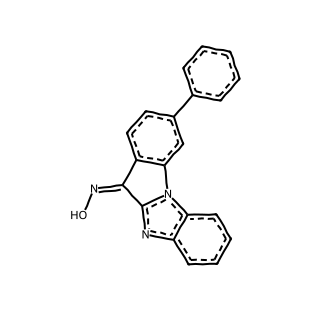 O/N=C1/c2ccc(-c3ccccc3)cc2-n2c1nc1ccccc12